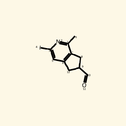 Cc1nc(I)cc2c1CC(C=O)C2